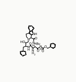 CC(C)(C)NC(=O)C1c2[nH]c3ccccc3c2CCN1CC(O)C(Cc1ccccc1)NC(=O)[C@@H](N)CC(=O)NC(=O)OCc1ccccc1